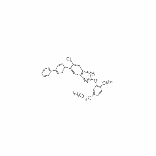 COc1ccc(C(=O)O)cc1Oc1nc2cc(-c3ccc(-c4ccccc4)cc3)c(Cl)cc2[nH]1